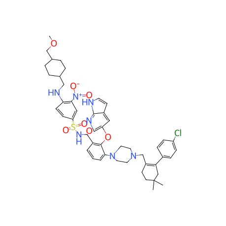 COCC1CCC(CNc2ccc(S(=O)(=O)NC(=O)c3cccc(N4CCN(CC5=C(c6ccc(Cl)cc6)CC(C)(C)CC5)CC4)c3Oc3cnc4[nH]ccc4c3)cc2[N+](=O)[O-])CC1